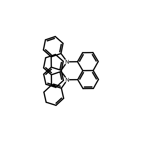 C1=Cc2c(c3c(n2-c2cccc4cccc(-n5c6ccccc6c6ccccc65)c24)=CCCC=3)CC1